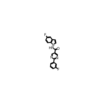 O=C(Nn1ccc2cc(F)ccc21)c1cnc(-c2cccc(F)c2)nc1